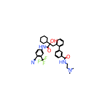 CN(C)CCNC(=O)c1cccc(-c2ccccc2CC(O)(C(=O)Nc2ccc(C#N)c(C(F)(F)F)c2)C2CCCCC2)c1